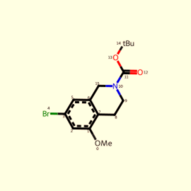 COc1cc(Br)cc2c1CCN(C(=O)OC(C)(C)C)C2